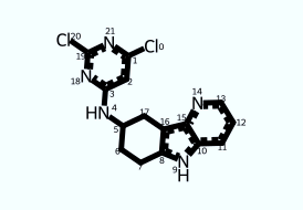 Clc1cc(NC2CCc3[nH]c4cccnc4c3C2)nc(Cl)n1